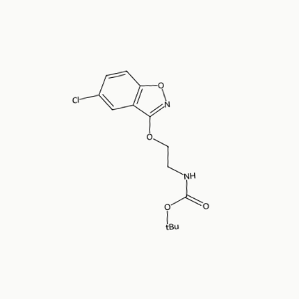 CC(C)(C)OC(=O)NCCOc1noc2ccc(Cl)cc12